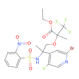 CCOC(=O)C(C)(OCC(C)(NS(=O)(=O)c1ccccc1[N+](=O)[O-])c1cc(Br)ncc1F)C(F)(F)F